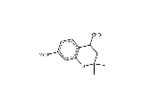 COc1ccc2c(c1)OC(C)(C)CC2C=O